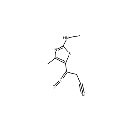 CNc1nc(C)c(C(=C=O)CC#N)s1